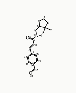 CC1(C)CCCC1CNC(=O)C=Cc1ccc(C=O)cc1